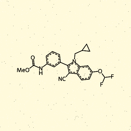 COC(=O)Nc1cccc(-c2c(C#N)c3ccc(OC(F)F)cc3n2CC2CC2)c1